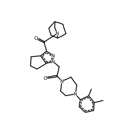 Cc1cccc(N2CCN(C(=O)Cn3nc(C(=O)N4CC5CCC4CC5)c4c3CCC4)CC2)c1C